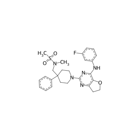 CN(CC1(c2ccccc2)CCN(c2nc3c(c(Nc4cccc(F)c4)n2)OCC3)CC1)S(C)(=O)=O